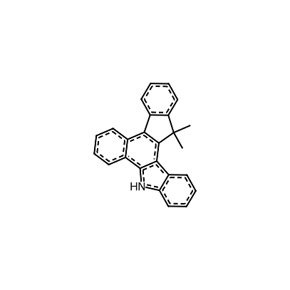 CC1(C)c2ccccc2-c2c1c1c3ccccc3[nH]c1c1ccccc21